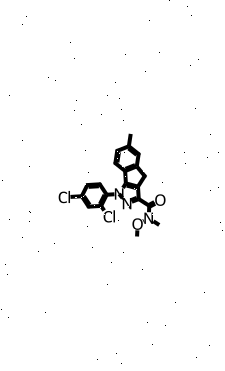 CON(C)C(=O)c1nn(-c2ccc(Cl)cc2Cl)c2c1Cc1cc(C)ccc1-2